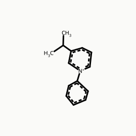 CC(C)c1ccc[n+](-c2ccccc2)c1